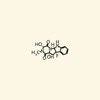 CN1C(=O)[C@]2(O)C[C@]3(F)c4ccccc4N[C@@H]3N2C(=O)[C@H]1O